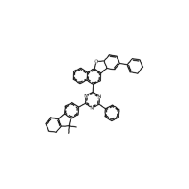 CC1(C)C2=C(C=CCC2)c2ccc(-c3nc(-c4ccccc4)nc(-c4cc5c(c6ccccc46)OC4C=CC(C6=CCCC=C6)=CC54)n3)cc21